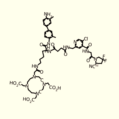 Cc1cc(-c2ccc(NC(=O)C(CCCCNC(=O)CN3CCN(CC(=O)O)CCN(CC(=O)O)CCN(CC(=O)O)CC3)NC(=O)CCC(=O)NCc3cc(C(=O)NCC(=O)N4CC(F)(F)C[C@H]4C#N)c(Cl)cn3)c(C)c2)ccc1N